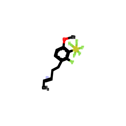 C/C=C/CCc1ccc(OCC)c(S(F)(F)(F)(F)F)c1F